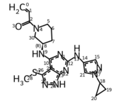 C=CC(=O)N1CCC[C@@H](Nc2nc(Nc3cnn(C4CC4)c3)nc3[nH]nc(SC)c23)C1